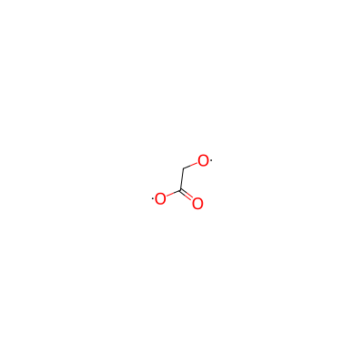 [O]CC([O])=O